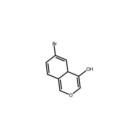 OC1=COC=C2C=CC(Br)=CC12